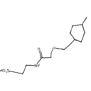 [CH2]C1CCC(COCC(=O)NCCS(=O)(=O)O)CC1